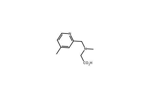 Cc1ccnc(CN(C)CC(=O)O)c1